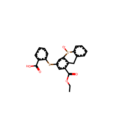 CCOC(=O)c1cc(Sc2ccccc2C(=O)O)cc2c1Cc1ccccc1[S+]2[O-]